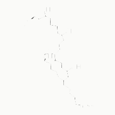 C=CCCCCC(CCCCCCCCCCCCCCC)CC(C)CCCC(C)CCCC(C)CCCCC(C)CC=C